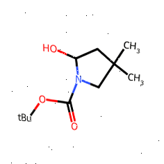 CC1(C)CC(O)N(C(=O)OC(C)(C)C)C1